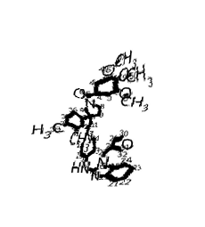 COc1cc(C(=O)N2CCC(CCN3CCC(Nc4nc5ccccc5n4Cc4ccoc4)CC3)(c3ccc(C)c(C)c3)C2)cc(OC)c1OC